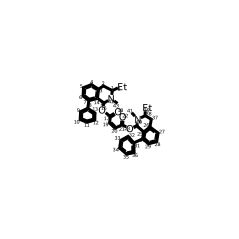 CCC1Cc2cccc(-c3ccccc3)c2C(OC(=O)/C=C\C(=O)OC2c3c(cccc3-c3ccccc3)CC(CC)N2C)N1C